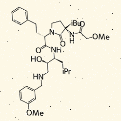 CC[C@H](C)[C@@]1(NC(=O)COC)CCN([C@@H](CCc2ccccc2)C(=O)N[C@@H](CC(C)C)[C@H](O)CNCc2cccc(OC)c2)C1=O